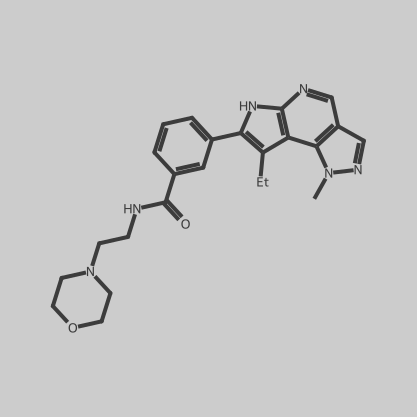 CCc1c(-c2cccc(C(=O)NCCN3CCOCC3)c2)[nH]c2ncc3cnn(C)c3c12